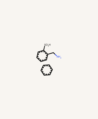 NCc1ccccc1S(=O)(=O)O.c1ccccc1